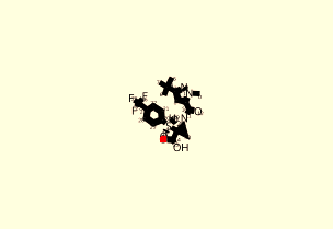 Cn1nc(C(C)(C)C)cc1C(N)=O.O=C(O)C1(S(=O)(=O)c2ccc(C(F)(F)F)cc2)CC1